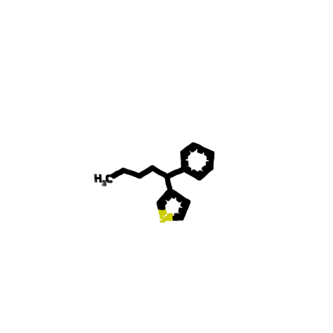 CCCCC(c1ccccc1)c1ccsc1